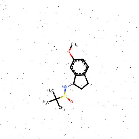 COc1ccc2c(c1)[C@@H](N[S@@+]([O-])C(C)(C)C)CC2